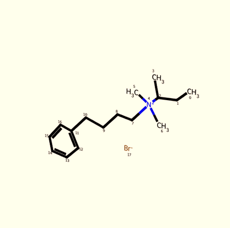 CCC(C)[N+](C)(C)CCCCc1ccccc1.[Br-]